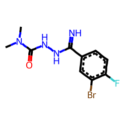 CN(C)C(=O)NNC(=N)c1ccc(F)c(Br)c1